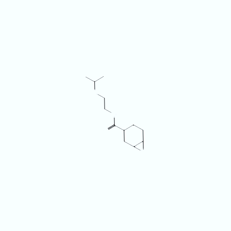 CC(C)OCCOC(=O)C1CCC2OC2C1